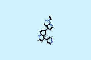 C=CNc1nccc(-c2ccc3nccc(-c4ccncc4)c3c2)c1C